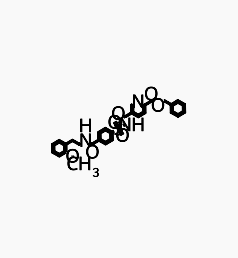 COc1ccccc1CCNC(=O)c1ccc(S(=O)(=O)NC(=O)c2ccc(C(=O)OCc3ccccc3)nc2)cc1